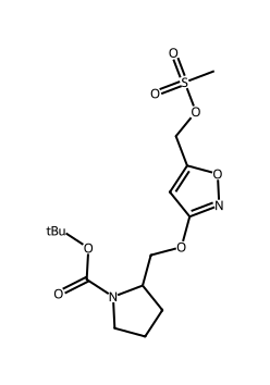 CC(C)(C)OC(=O)N1CCCC1COc1cc(COS(C)(=O)=O)on1